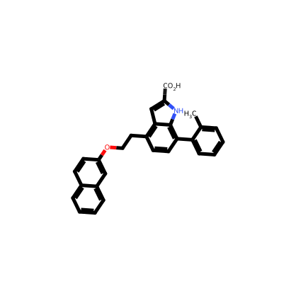 Cc1ccccc1-c1ccc(CCOc2ccc3ccccc3c2)c2cc(C(=O)O)[nH]c12